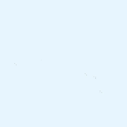 N#Cc1ccccc1Oc1ccc(-c2ccn(C(N)=O)n2)cc1